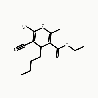 CCCCC1C(C#N)=C(N)NC(C)=C1C(=O)OCC